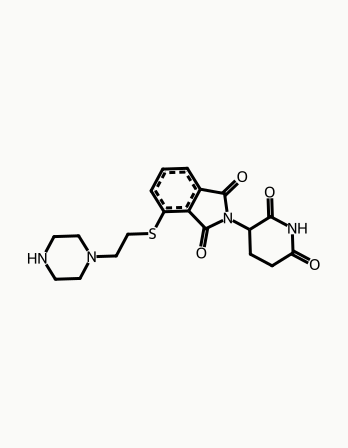 O=C1CCC(N2C(=O)c3cccc(SCCN4CCNCC4)c3C2=O)C(=O)N1